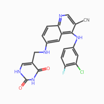 N#Cc1cnc2ccc(NCc3c[nH]c(=O)[nH]c3=O)cc2c1Nc1ccc(F)c(Cl)c1